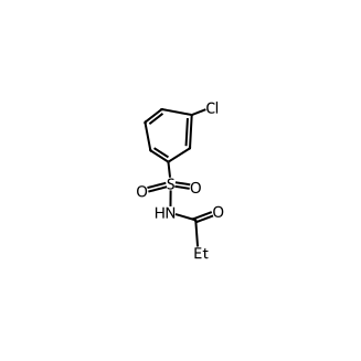 CCC(=O)NS(=O)(=O)c1cccc(Cl)c1